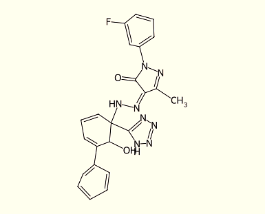 CC1=NN(c2cccc(F)c2)C(=O)C1=NNC1(c2nnn[nH]2)C=CC=C(c2ccccc2)C1O